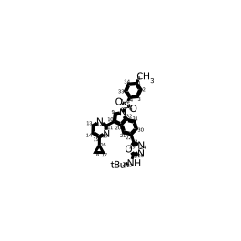 Cc1ccc(S(=O)(=O)n2cc(-c3nccc(C4CC4)n3)c3cc(-c4nnc(NC(C)(C)C)o4)ccc32)cc1